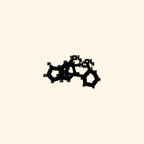 Cc1ccccc1N1[C@@H](C)C23CCC1(CC2)c1ccsc13